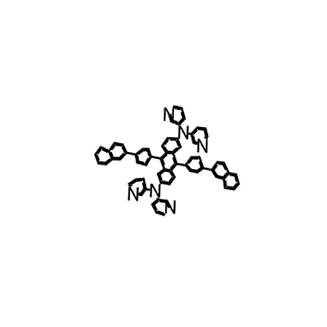 c1cncc(N(c2cccnc2)c2ccc3c(-c4ccc(-c5ccc6ccccc6c5)cc4)c4cc(N(c5cccnc5)c5cccnc5)ccc4c(-c4ccc(-c5ccc6ccccc6c5)cc4)c3c2)c1